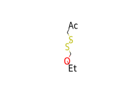 CCOCSSCC(C)=O